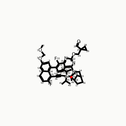 COCOc1cc(-c2c(F)cc3c(N4CC5CCC(C5)C4)nc(OCC4(C=O)CC4)nc3c2F)c2c(C#C[Si](C(C)C)(C(C)C)C(C)C)c(F)ccc2c1